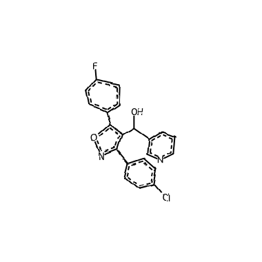 OC(c1cccnc1)c1c(-c2ccc(Cl)cc2)noc1-c1ccc(F)cc1